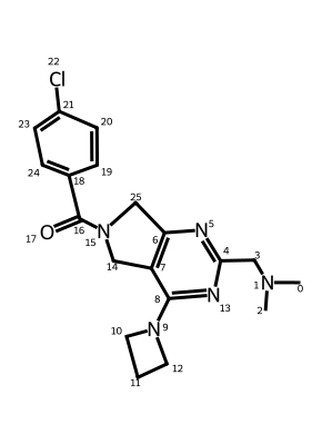 CN(C)Cc1nc2c(c(N3CCC3)n1)CN(C(=O)c1ccc(Cl)cc1)C2